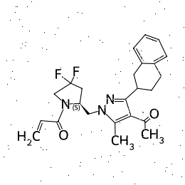 C=CC(=O)N1CC(F)(F)C[C@H]1Cn1nc(C2CCc3ccccc3C2)c(C(C)=O)c1C